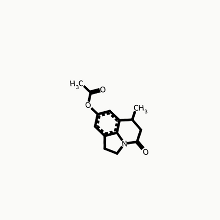 CC(=O)Oc1cc2c3c(c1)C(C)CC(=O)N3CC2